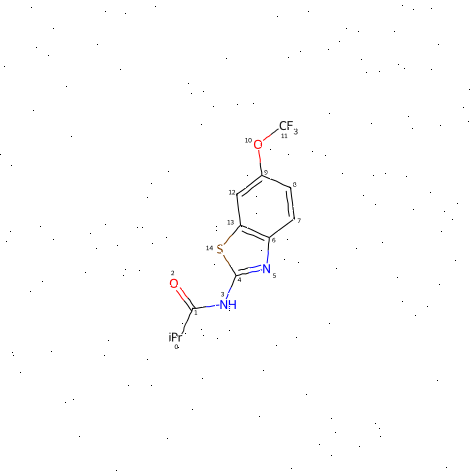 CC(C)C(=O)Nc1nc2ccc(OC(F)(F)F)cc2s1